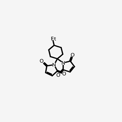 CCC1CCC(N2C(=O)C=CC2=O)(N2C(=O)C=CC2=O)CC1